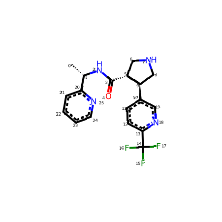 C[C@H](NC(=O)[C@@H]1CNC[C@H]1c1ccc(C(F)(F)F)nc1)c1ccccn1